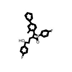 Cc1cc(-c2ccccc2)ccc1C1C(CC[C@H](O)c2ccc(F)cc2)C(=O)N1c1ccc(F)cc1